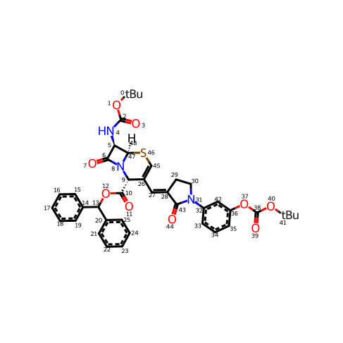 CC(C)(C)OC(=O)N[C@@H]1C(=O)N2[C@@H](C(=O)OC(c3ccccc3)c3ccccc3)C(C=C3CCN(c4cccc(OC(=O)OC(C)(C)C)c4)C3=O)=CS[C@H]12